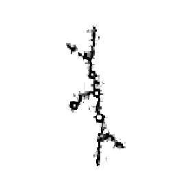 C=CC(=O)OCCCCOCC(COc1ccc(C(=O)OCCc2ccc(OC(=O)c3ccc(OCC(COCCCCOC(=O)C=C)OC(=O)CCOC(=O)C=C)cc3)c(/C=N/Nc3nc4ccccc4s3)c2)cc1)OC(=O)CCOC(=O)C=C